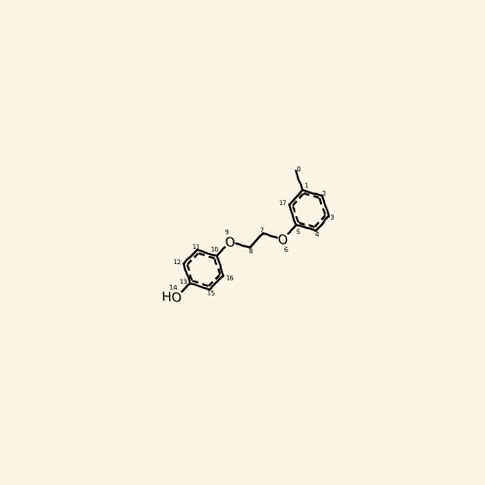 Cc1cccc(OCCOc2ccc(O)cc2)c1